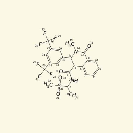 CC(NC(=O)C1c2ccccc2C(=O)N(C)C1c1cc(C(F)(F)F)cc(C(F)(F)F)c1)S(C)(=O)=O